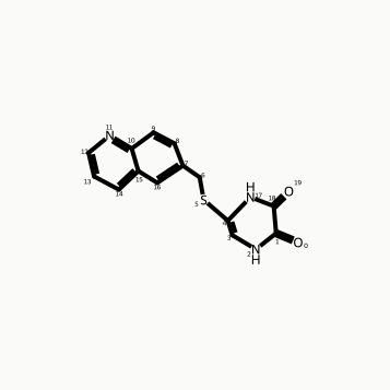 O=c1[nH]cc(SCc2ccc3ncccc3c2)[nH]c1=O